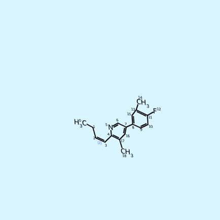 CC/C=C\c1ncc(-c2ccc(F)c(C)c2)cc1C